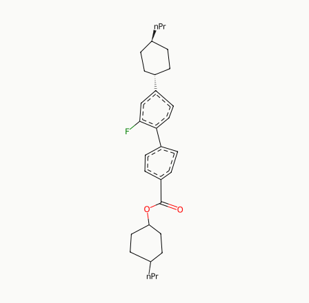 CCCC1CCC(OC(=O)c2ccc(-c3ccc([C@H]4CC[C@H](CCC)CC4)cc3F)cc2)CC1